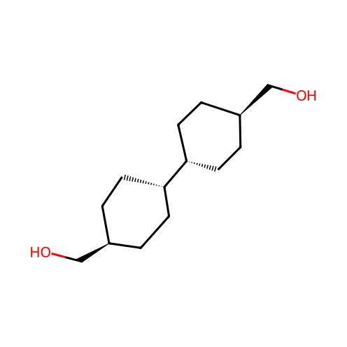 OC[C@H]1CC[C@H]([C@H]2CC[C@H](CO)CC2)CC1